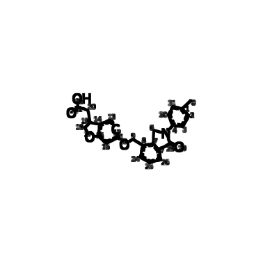 Cc1ccc(N2Cc3c(COc4ccc5c(c4)OCC5CC(=O)O)cccc3C2=O)cc1